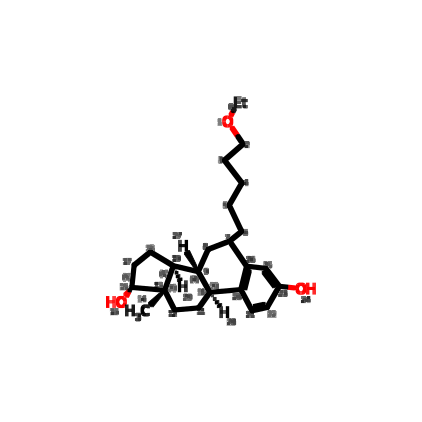 CCOCCCCCC1C[C@@H]2[C@H](CC[C@]3(C)[C@@H](O)CC[C@@H]23)c2ccc(O)cc21